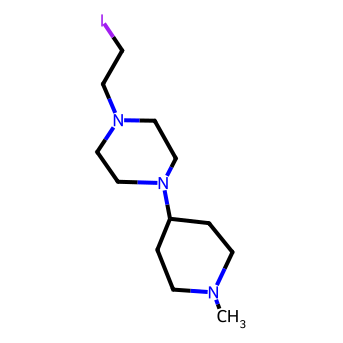 CN1CCC(N2CCN(CCI)CC2)CC1